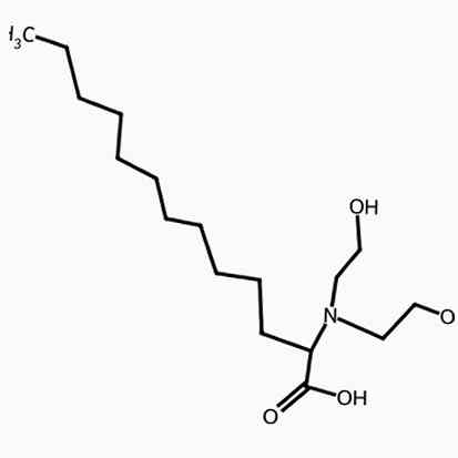 CCCCCCCCCCCC(C(=O)O)N(CCO)CCO